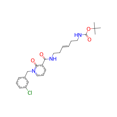 CC(C)(C)OC(=O)NCC/C=C/CCNC(=O)c1cccn(Cc2cccc(Cl)c2)c1=O